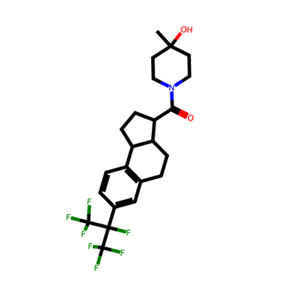 CC1(O)CCN(C(=O)C2CCC3c4ccc(C(F)(C(F)(F)F)C(F)(F)F)cc4CCC23)CC1